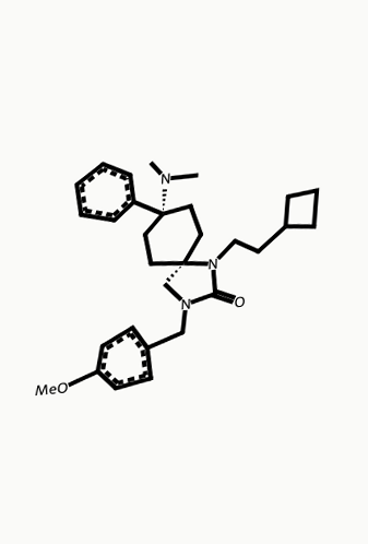 COc1ccc(CN2C[C@]3(CC[C@@](c4ccccc4)(N(C)C)CC3)N(CCC3CCC3)C2=O)cc1